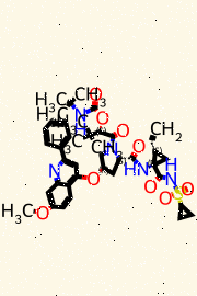 C=C[C@@H]1C[C@]1(NC(=O)[C@@H]1C[C@@H](Oc2cc(-c3ccccc3)nc3cc(OC)ccc23)CN1C(=O)[C@@H](OC(=O)NC(C)(C)C)C(C)(C)C)C(=O)NS(=O)(=O)C1CC1